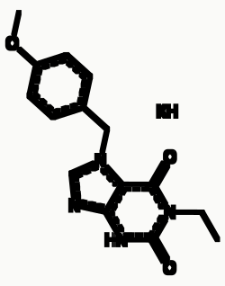 CCn1c(=O)[nH]c2ncn(Cc3ccc(OC)cc3)c2c1=O.[KH]